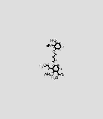 C=CCc1c(OCCCOc2cccc(O)c2CCC)ccc(C(N)=O)c1OC